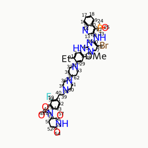 CCc1cc(Nc2ncc(Br)c(Nc3cnc4ccccc4c3P(C)(C)=O)n2)c(OC)cc1N1CCC(N2CCN(CCc3ccc4c(oc(=O)n4C4CCC(=O)NC4=O)c3F)CC2)CC1